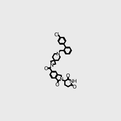 O=C1CCC(N2Cc3cc(C(=O)N4CC5(CCN(Cc6ccccc6-c6ccc(Cl)cc6)CC5)C4)ccc3C2=O)C(=O)N1